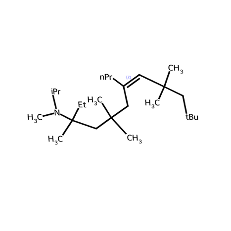 CCC/C(=C/C(C)(C)CC(C)(C)C)CC(C)(C)CC(C)(CC)N(C)C(C)C